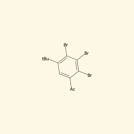 CC(=O)c1cc(C(C)(C)C)c(Br)c(Br)c1Br